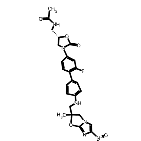 CC(=O)NC[C@H]1CN(c2ccc(-c3ccc(NCC4(C)Cn5cc([N+](=O)[O-])nc5O4)cc3)c(F)c2)C(=O)O1